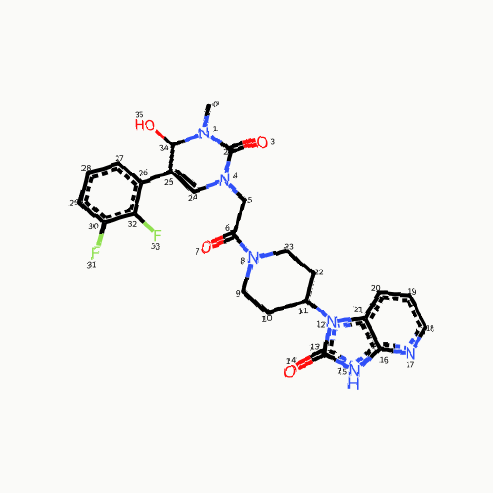 CN1C(=O)N(CC(=O)N2CCC(n3c(=O)[nH]c4ncccc43)CC2)C=C(c2cccc(F)c2F)C1O